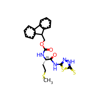 CSCC[C@H](NC(=O)OCC1c2ccccc2-c2ccccc21)C(=O)Nc1n[nH]c(=S)s1